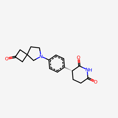 O=C1CC2(CCN(c3ccc([C@H]4CCC(=O)NC4=O)cc3)C2)C1